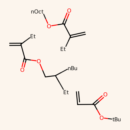 C=C(CC)C(=O)OCC(CC)CCCC.C=C(CC)C(=O)OCCCCCCCC.C=CC(=O)OC(C)(C)C